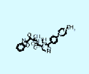 CC(C)C[C@H](NC(=O)c1ccc(N2CCN(C)CC2)cc1)C(=O)NC(C)(C)C(=O)c1nc2ccccc2o1